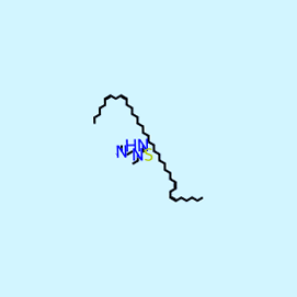 CCCCC/C=C\C/C=C\CCCCCCCCC(CCCCCCCC/C=C\C/C=C\CCCCC)NC(=S)N(CC)CCN(C)C